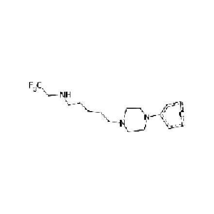 FC(F)(F)CNCCCCCN1CCN(c2ccccc2)CC1